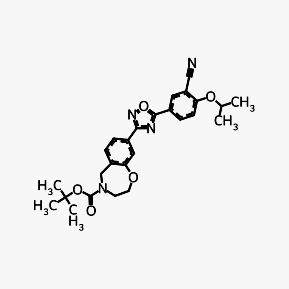 CC(C)Oc1ccc(-c2nc(-c3ccc4c(c3)OCCN(C(=O)OC(C)(C)C)C4)no2)cc1C#N